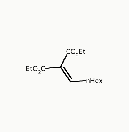 CCCCCCC=C(C(=O)OCC)C(=O)OCC